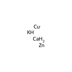 [CaH2].[Cu].[KH].[Zn]